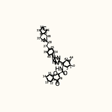 Cc1cc(NC(=O)c2cc(=O)c3ccccc3o2)c(-c2nnn(-c3ccc(CCN4CCc5ccccc5C4)cc3)n2)cc1C